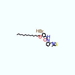 Br.CCCCCCCCCCCCCCOc1cccc(CC(=O)Nc2ccccc2CN2CSC=C2C)c1